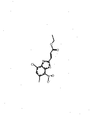 CCOC(=O)/C=C/c1nc2c(Cl)cc(F)c([N+](=O)[O-])c2s1